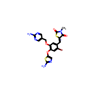 CN1C(=O)S/C(=C\c2cc(OCc3cnc(N)nc3)c(Oc3cnc(N)s3)cc2Br)C1=O